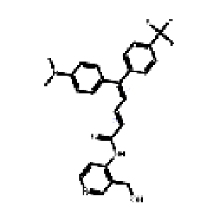 CN(C)c1ccc(/C(=C\C=C\C(=O)Nc2ccncc2CO)c2ccc(C(F)(F)F)cc2)cc1